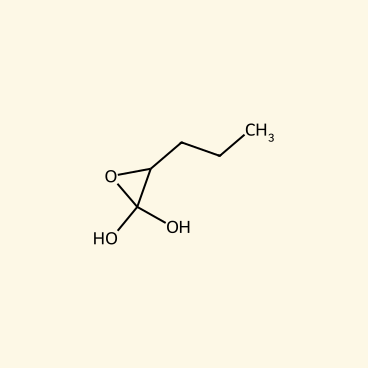 CCCC1OC1(O)O